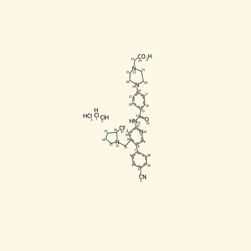 Cl.Cl.Cl.N#Cc1ccc(-c2cnc(NC(=O)c3ccc(N4CCN(CC(=O)O)CC4)cc3)cc2CN2CCCC2C(F)(F)F)cc1